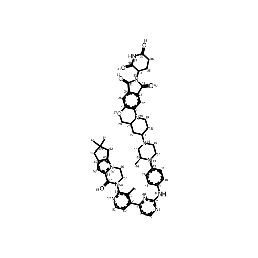 Cc1c(-c2ccnc(Nc3ccc(N4CCN(C5CCN6c7cc8c(cc7OCC6C5)C(=O)N(C5CCC(=O)NC5=O)C8=O)C[C@@H]4C)cc3)n2)ccnc1N1CCn2c(cc3c2CC(C)(C)C3)C1=O